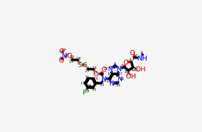 CNC(=O)[C@H]1OC(n2cnc3c(N(Cc4cccc(F)c4)C(=O)OCCSSCCO[N+](=O)[O-])ncnc32)[C@H](O)[C@@H]1O